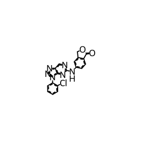 O=C1OCc2cc(Nc3ncc4nnn(-c5ccccc5Cl)c4n3)ccc21